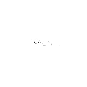 Bc1cnc(N2C[C@@H](NC(=O)OC(C)(C)C)C[C@H]2CC)nc1